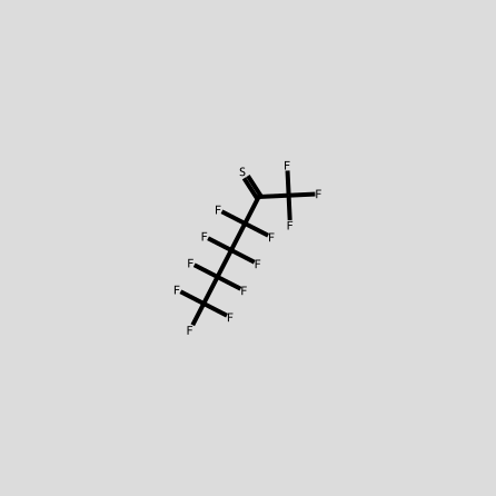 FC(F)(F)C(=S)C(F)(F)C(F)(F)C(F)(F)C(F)(F)F